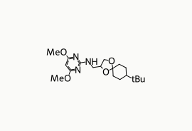 COc1cc(OC)nc(NCC2COC3(CCC(C(C)(C)C)CC3)O2)n1